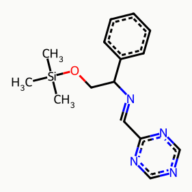 C[Si](C)(C)OCC(N=Cc1ncncn1)c1ccccc1